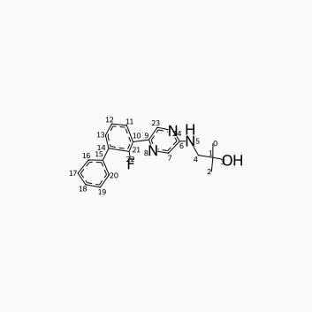 CC(C)(O)CNc1cnc(-c2cccc(-c3ccccc3)c2F)cn1